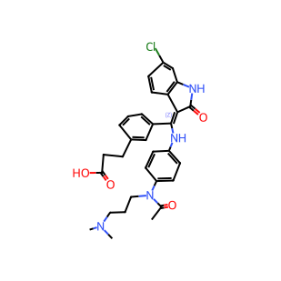 CC(=O)N(CCCN(C)C)c1ccc(N/C(=C2\C(=O)Nc3cc(Cl)ccc32)c2cccc(CCC(=O)O)c2)cc1